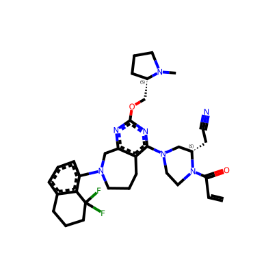 C=CC(=O)N1CCN(c2nc(OC[C@@H]3CCCN3C)nc3c2CCCN(c2cccc4c2C(F)(F)CCC4)C3)C[C@@H]1CC#N